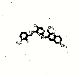 CCc1nc2c(cc1Nc1ncc(Cl)c(NCc3cccn(C)c3=O)n1)CN(C)CC2